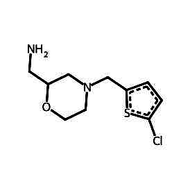 NCC1CN(Cc2ccc(Cl)s2)CCO1